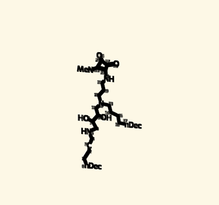 CCCCCCCCCCCCCCNCC(O)C(O)CN(CCCCCCCCCCCCCC)CCCNc1c(NC)c(=O)c1=O